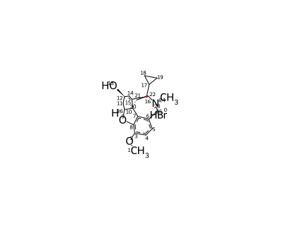 Br.COc1ccc2c3c1O[C@H]1C[C@@H](O)C=C(CC4CC4)[C@@]31CCN(C)C2